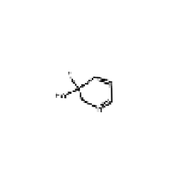 OC1(F)C=CC=NC1